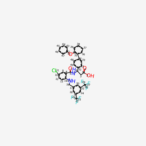 O=C(O)CC(NC(=O)c1cc(Cl)ccc1NCc1cc(C(F)(F)F)cc(C(F)(F)F)c1)c1ccc(-c2ccccc2Oc2ccccc2)cc1